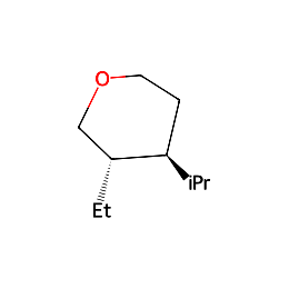 CC[C@@H]1COCC[C@H]1C(C)C